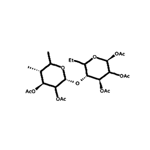 CCC1O[C@@H](OC(C)=O)C(OC(C)=O)[C@@H](OC(C)=O)[C@@H]1O[C@H]1OC(C)[C@@H](C)[C@H](OC(C)=O)C1OC(C)=O